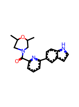 CC1CN(C(=O)c2cccc(-c3ccc4[nH]ccc4c3)n2)CC(C)O1